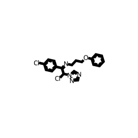 Clc1ccc(C(=NCCCOc2ccccc2)C(Cl)n2cncn2)cc1